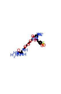 [N-]=[N+]=NC1C[C@@H](C(=O)NCCOCCOCCOCCNCc2c[nH]c3nc(N)[nH]c(=O)c23)N(C(=O)CCc2ccc(S(=O)(=O)F)cc2)C1